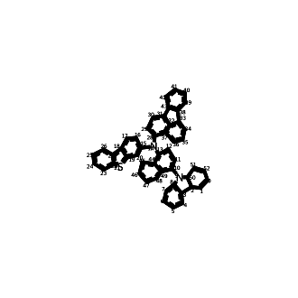 C1=CC2c3ccccc3N(c3ccc(N(c4ccc5c(c4)sc4ccccc45)c4ccc5c6c(cccc46)-c4ccccc4-5)c4ccccc34)C2C=C1